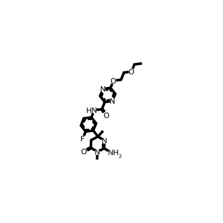 CCOCCOc1cnc(C(=O)Nc2ccc(F)c(C3(C)CC(=O)N(C)C(N)=N3)c2)cn1